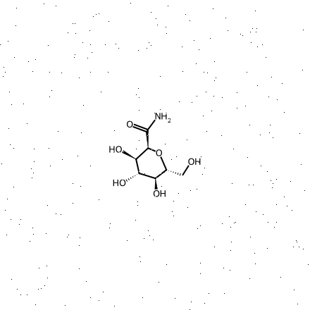 NC(=O)[C@H]1O[C@H](CO)[C@@H](O)[C@H](O)[C@H]1O